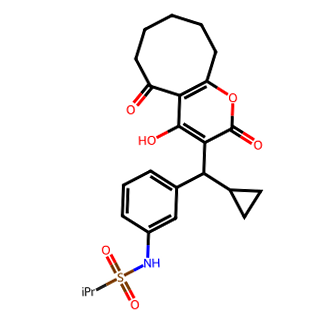 CC(C)S(=O)(=O)Nc1cccc(C(c2c(O)c3c(oc2=O)CCCCCC3=O)C2CC2)c1